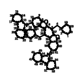 c1ccc(Cc2c3oc4ccc(-n5c6ccccc6c6ccccc65)cc4c3c(Cc3ccccc3)c3c2oc2ccc(-n4c5ccccc5c5ccccc54)cc23)cc1